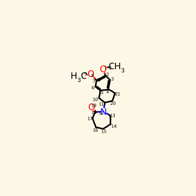 COc1cc2c(cc1OC)CC(N1CCCCCC1=O)CC2